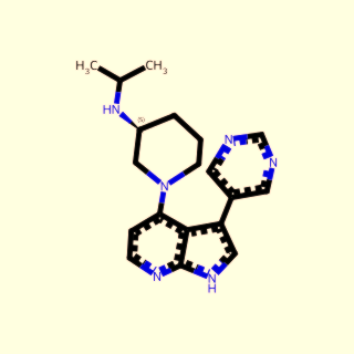 CC(C)N[C@H]1CCCN(c2ccnc3[nH]cc(-c4cncnc4)c23)C1